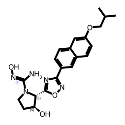 CC(C)COc1ccc2cc(-c3noc([C@@H]4[C@@H](O)CCN4/C(N)=N/O)n3)ccc2c1